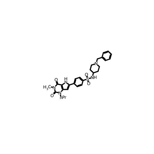 CCCn1c(=O)n(C)c(=O)c2[nH]c(-c3ccc(S(=O)(=O)NC4CCN(Cc5ccccc5)CC4)cc3)cc21